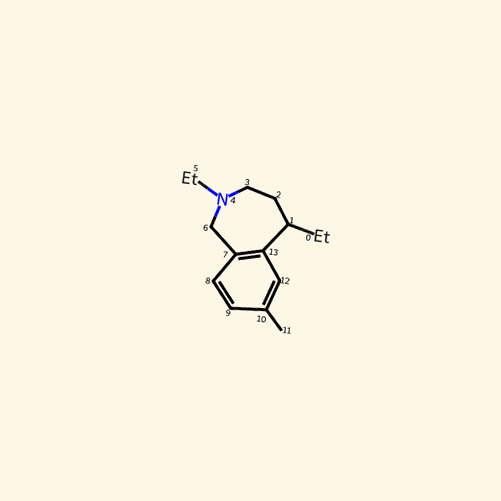 CCC1CCN(CC)Cc2ccc(C)cc21